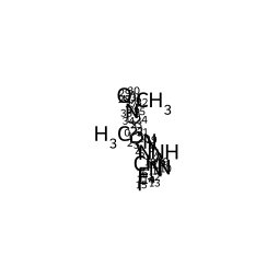 Cc1cc2cnc(Nc3cnn(C4CC4(F)F)c3Cl)nc2cc1C1CCN([C@H]2COC[C@H]2C)CC1